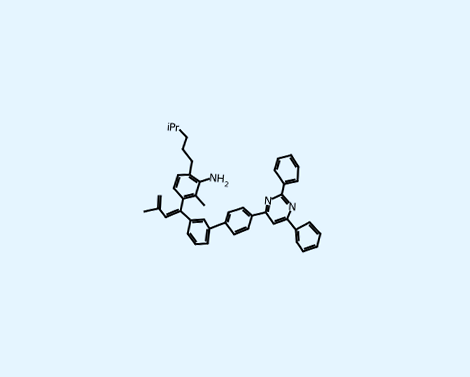 C=C(C)/C=C(/c1cccc(-c2ccc(-c3cc(-c4ccccc4)nc(-c4ccccc4)n3)cc2)c1)c1ccc(CCCC(C)C)c(N)c1C